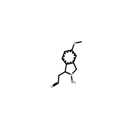 BN1Cc2cc(OC)ccc2C1CC=O